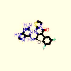 CC(Nc1nc(N)nc2[nH]cnc12)c1nc2sccn2c(=O)c1-c1cc(F)cc(F)c1